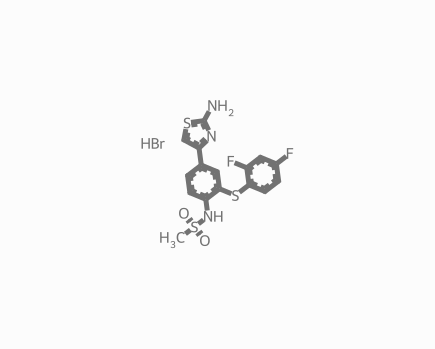 Br.CS(=O)(=O)Nc1ccc(-c2csc(N)n2)cc1Sc1ccc(F)cc1F